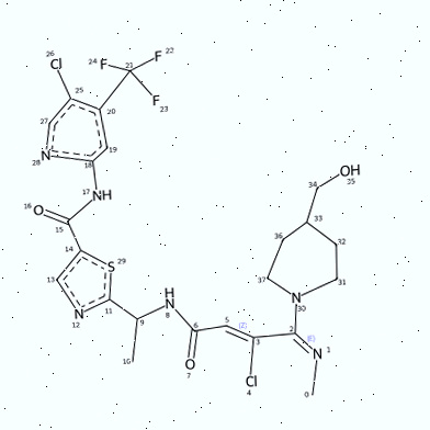 C/N=C(\C(Cl)=C\C(=O)NC(C)c1ncc(C(=O)Nc2cc(C(F)(F)F)c(Cl)cn2)s1)N1CCC(CO)CC1